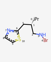 CC(C)[C@H](CNBr)Cc1nccs1